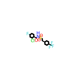 O=C(NS(=O)(=O)/C=C/c1ccc(C(F)(F)F)cc1)c1ccc(F)cc1Cl